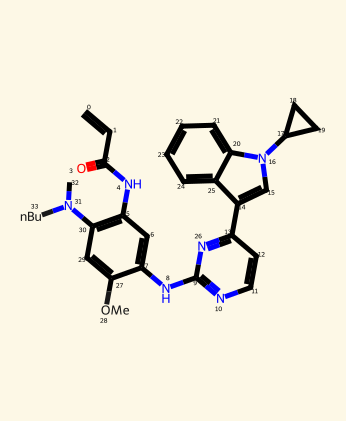 C=CC(=O)Nc1cc(Nc2nccc(-c3cn(C4CC4)c4ccccc34)n2)c(OC)cc1N(C)CCCC